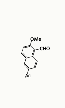 COc1ccc2cc(C(C)=O)ccc2c1C=O